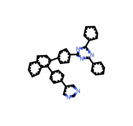 c1ccc(-c2nc(-c3ccccc3)nc(-c3ccc(-c4ccc5ccccc5c4-c4ccc(-c5cncnc5)cc4)cc3)n2)cc1